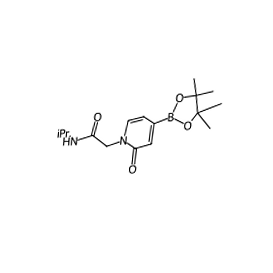 CC(C)NC(=O)Cn1ccc(B2OC(C)(C)C(C)(C)O2)cc1=O